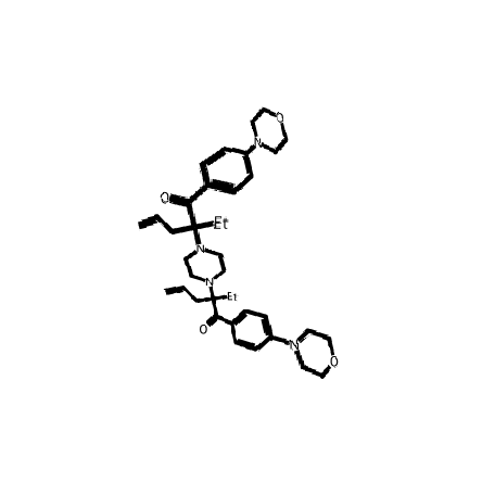 C=CCC(CC)(C(=O)c1ccc(N2CCOCC2)cc1)N1CCN(C(CC)(CC=C)C(=O)c2ccc(N3CCOCC3)cc2)CC1